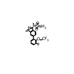 CN(c1nn(C)c2cc(-c3cccc(F)c3OCC(F)(F)F)ccc12)S(N)(=O)=O